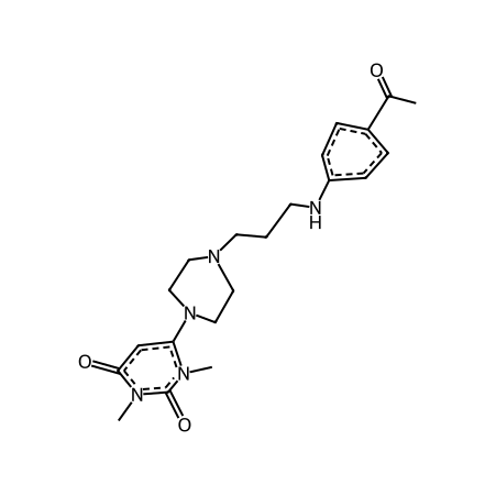 CC(=O)c1ccc(NCCCN2CCN(c3cc(=O)n(C)c(=O)n3C)CC2)cc1